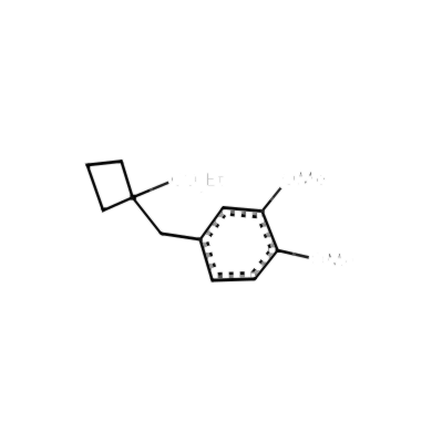 CCOC(=O)C1(Cc2ccc(OC)c(OC)c2)CCC1